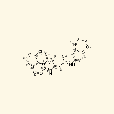 CN1CCOc2ccc(Nc3ncc4c(=N)n(-c5c(Cl)cccc5Cl)c(=O)[nH]c4n3)cc21